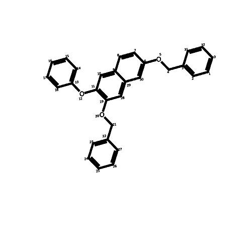 c1ccc(COc2ccc3cc(Oc4ccccc4)c(OCc4ccccc4)cc3c2)cc1